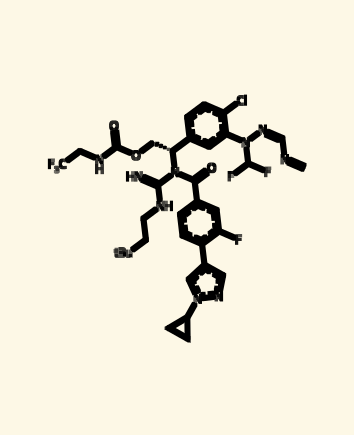 C=N/C=N\N(c1cc([C@@H](COC(=O)NCC(F)(F)F)N(C(=N)NCCC(C)(C)C)C(=O)c2ccc(-c3cnn(C4CC4)c3)c(F)c2)ccc1Cl)C(F)F